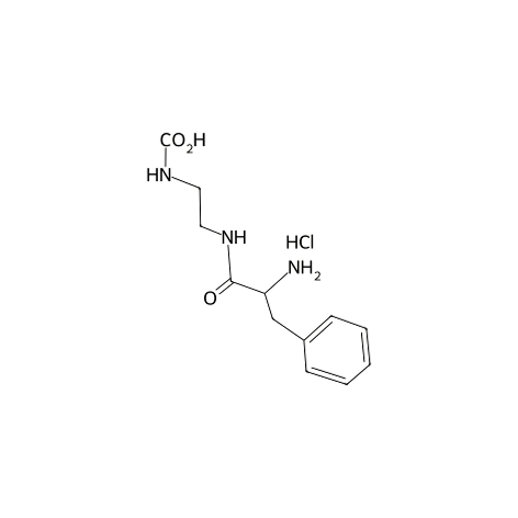 Cl.NC(Cc1ccccc1)C(=O)NCCNC(=O)O